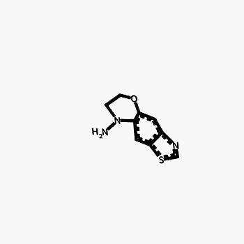 NN1CCOc2cc3ncsc3cc21